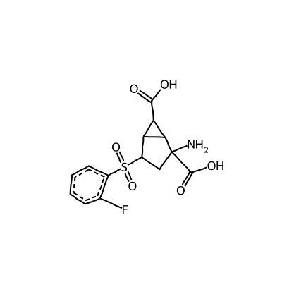 NC1(C(=O)O)CC(S(=O)(=O)c2ccccc2F)C2C(C(=O)O)C21